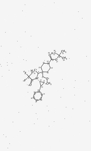 COCC1(C(C)N(C(=O)C(F)(F)F)[C@@H]2CC2c2ccccc2)CCN(C(=O)OC(C)(C)C)CC1